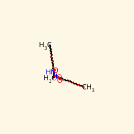 CCCCCCCCCCCCCCCCCC(=O)NCCN(C)CCOC(=O)CCCCCCCCCCCCCCCCC